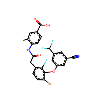 Cc1cc(C(=O)O)ccc1NC(=O)Cc1ccc(Br)c(Oc2cc(C#N)cc(C(F)F)c2)c1F